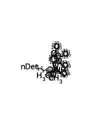 CCCCCCCCCCCCCCCC1(O)[C@@H]([C@@H](CO[C@H]2CC=C[C@H](OCc3ccccc3)[C@H](OCc3ccccc3)[C@H]2OCc2ccccc2)NCc2ccccc2)OC1(C)C